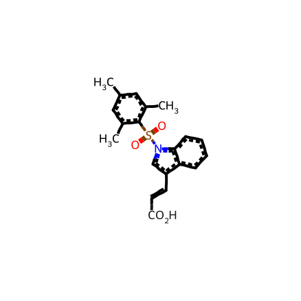 Cc1cc(C)c(S(=O)(=O)n2cc(/C=C/C(=O)O)c3ccccc32)c(C)c1